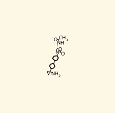 CC(=O)NC[C@H]1CN(c2ccc(-c3ccc(C4(N)CC4)cc3)cc2)C(=O)O1